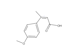 COc1ccc(/C(C)=C\C(=O)O)cc1